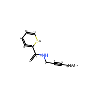 C=C(NCC#CNC)C1=C=CC=CS1